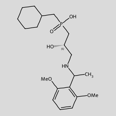 COc1cccc(OC)c1C(C)NC[C@H](O)CP(=O)(O)CC1CCCCC1